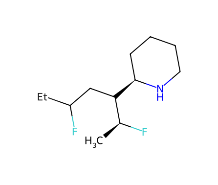 CCC(F)CC([C@H](C)F)[C@H]1CCCCN1